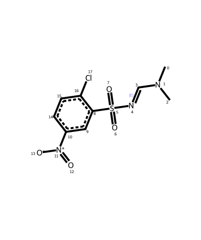 CN(C)/C=N/S(=O)(=O)c1cc([N+](=O)[O-])ccc1Cl